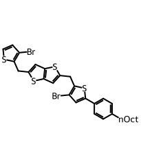 CCCCCCCCc1ccc(-c2cc(Br)c(Cc3cc4sc(Cc5sccc5Br)cc4s3)s2)cc1